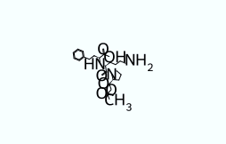 CC(=O)OC(=O)[C@@H]1CCCN1C(=O)[C@H](CCCCN)N[C@@H](CCc1ccccc1)C(=O)O